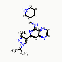 Cc1nn(C(C)C)cc1-c1cc2nccnc2c(NC[C@H]2CCCNC2)n1